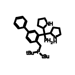 CC(C)(C)P(Cc1ccc(-c2ccccc2)cc1C(P)(C1CCCN1)C1CCCN1)C(C)(C)C